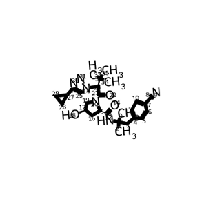 CC(C)(Cc1ccc(C#N)cc1)NC(=O)[C@@H]1C[C@@H](O)CN1C(=O)[C@@H](n1cc(C2CC2)nn1)C(C)(C)C